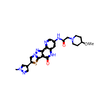 COC1CCN(CC(=O)Nc2cnc3c(c2)[nH]c(=O)c2c3nn3cc(-c4cnn(C)c4)sc23)CC1